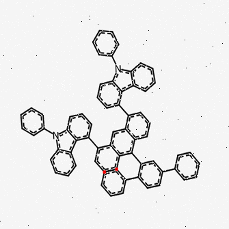 c1ccc(-c2ccc(-c3ccccc3)c(-c3c4cccc(-c5cccc6c5c5ccccc5n6-c5ccccc5)c4cc4c(-c5cccc6c5c5ccccc5n6-c5ccccc5)cccc34)c2)cc1